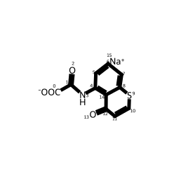 O=C([O-])C(=O)Nc1cccc2sccc(=O)c12.[Na+]